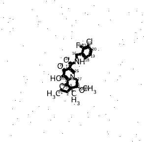 CCC[C@@]1(C)C(=O)c2c(O)c(=O)c(C(=O)NCc3cccc(Cl)c3F)cn2C[C@@H]1OC